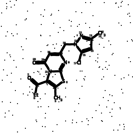 CCC(=O)c1c(C)sc2nc(Cn3nc(C(F)(F)F)cc3Cl)cc(=O)n12